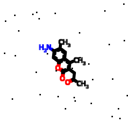 CC(=O)Cc1c(C)c2cc(C)c(N)cc2oc1=O